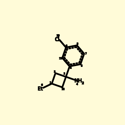 [CH2]CC1CC(N)(c2cccc(Cl)c2)C1